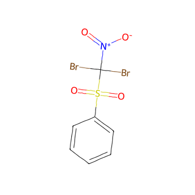 O=[N+]([O-])C(Br)(Br)S(=O)(=O)c1ccccc1